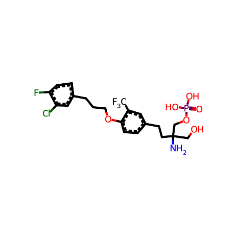 NC(CO)(CCc1ccc(OCCCc2ccc(F)c(Cl)c2)c(C(F)(F)F)c1)COP(=O)(O)O